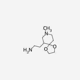 CN1CCC2(OCCO2)C(CCN)C1